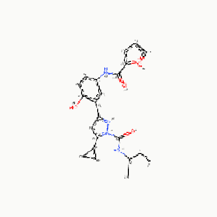 CCC(C)NC(=O)n1nc(-c2cc(NC(=O)c3ccco3)ccc2O)cc1C1CC1